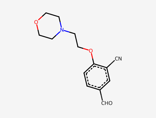 N#Cc1cc(C=O)ccc1OCCN1CCOCC1